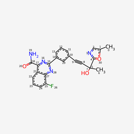 Cc1cnc(C(C)(O)C#Cc2cccc(-c3nc(C(N)=O)c4cccc(F)c4n3)c2)o1